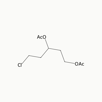 CC(=O)OCCC(CCCl)OC(C)=O